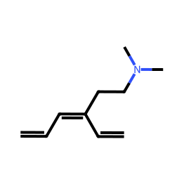 C=C/C=C(\C=C)CCN(C)C